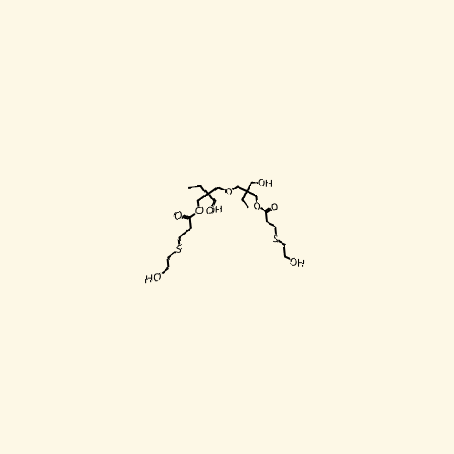 CCC(CO)(COCC(CC)(CO)COC(=O)CCSCCO)COC(=O)CCSCCO